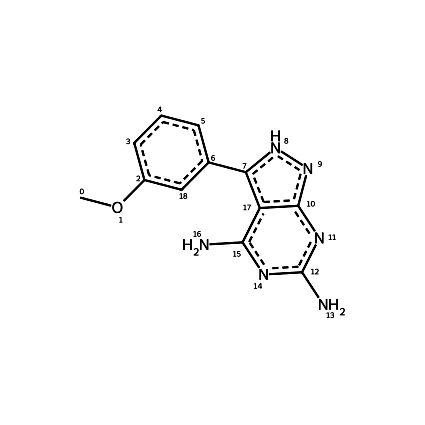 COc1cccc(-c2[nH]nc3nc(N)nc(N)c23)c1